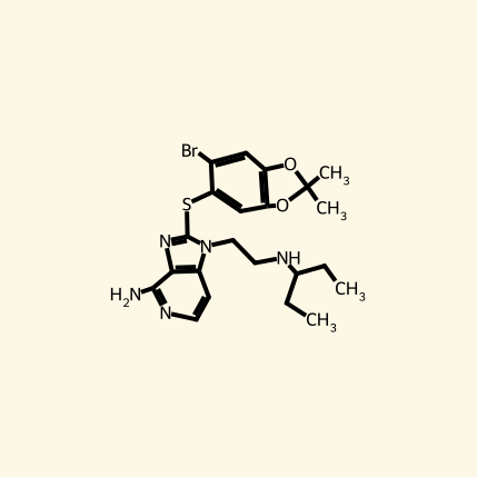 CCC(CC)NCCn1c(Sc2cc3c(cc2Br)OC(C)(C)O3)nc2c(N)nccc21